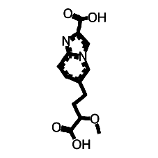 COC(CCc1ccc2nc(C(=O)O)cn2c1)C(=O)O